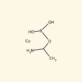 CC(N)OB(O)O.[Cu]